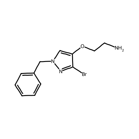 NCCOc1cn(Cc2ccccc2)nc1Br